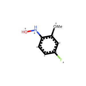 COc1cc(F)ccc1NO